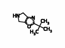 CC(C)(C)c1nc2c(o1)CNC2